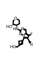 N#Cc1c(F)c2cnc(N[C@@H]3CCOC[C@H]3O)nn2c1C12CC(CO)(C1)C2